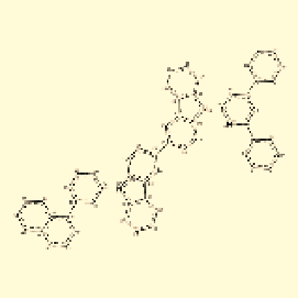 c1ccc(-c2cc(-c3ccccc3)nc(-n3c4ccccc4c4cc(-c5ccc6c(c5)c5ccccc5n6-c5cccc(-c6cccc7ccccc67)c5)ccc43)n2)cc1